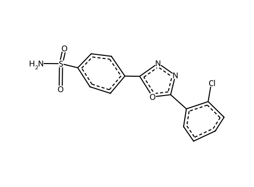 NS(=O)(=O)c1ccc(-c2nnc(-c3ccccc3Cl)o2)cc1